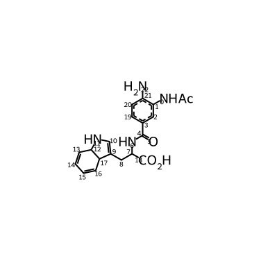 CC(=O)Nc1cc(C(=O)NC(CC2=CNC3C=CC=CC23)C(=O)O)ccc1N